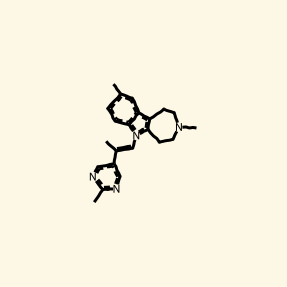 C/C(=C\n1c2c(c3cc(C)ccc31)CCN(C)CC2)c1cnc(C)nc1